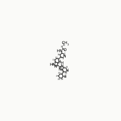 CCCC(=O)Nc1cncc(-c2ccc3[nH]nc(-c4nc5c(-c6ccccc6F)cncc5[nH]4)c3n2)c1